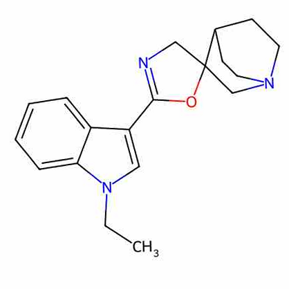 CCn1cc(C2=NCC3(CN4CCC3CC4)O2)c2ccccc21